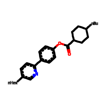 CCCCCCc1ccc(-c2ccc(OC(=O)C3CCC(CCCC)CC3)cc2)nc1